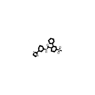 CS(=O)(=O)c1ccc(C(=O)Nc2cccc(-c3nccs3)c2)c(-c2ccccc2)c1